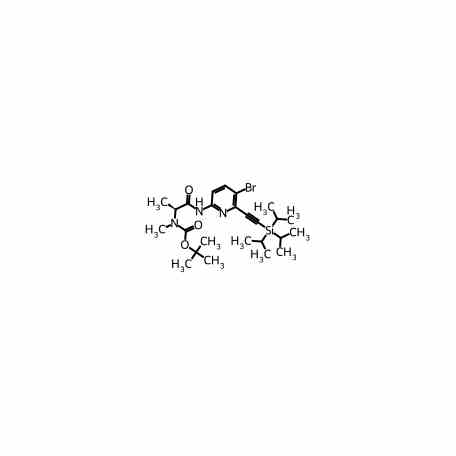 CC(C)[Si](C#Cc1nc(NC(=O)[C@H](C)N(C)C(=O)OC(C)(C)C)ccc1Br)(C(C)C)C(C)C